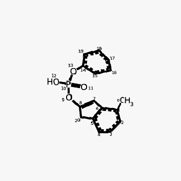 Cc1cccc2c1C=C(OP(=O)(O)Oc1ccccc1)C2